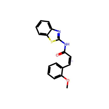 COc1ccccc1/C=C\C(=O)Nc1nc2ccccc2s1